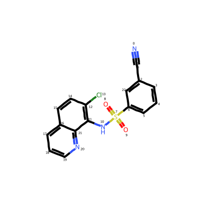 N#Cc1cccc(S(=O)(=O)Nc2c(Cl)ccc3cccnc23)c1